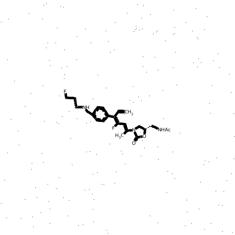 C=C/C(=C(F)\C=C(/C)N1C[C@H](CNC(C)=O)OC1=O)c1ccc(CNCCCF)cc1